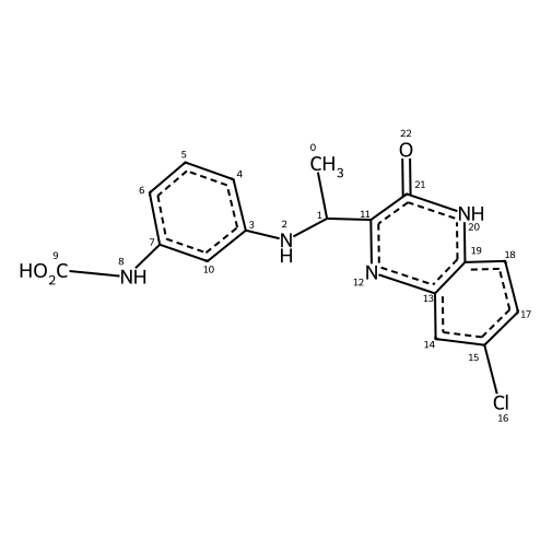 CC(Nc1cccc(NC(=O)O)c1)c1nc2cc(Cl)ccc2[nH]c1=O